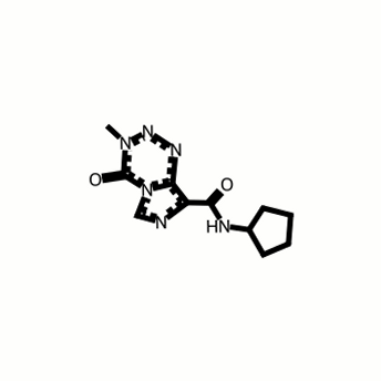 Cn1nnc2c(C(=O)NC3CCCC3)ncn2c1=O